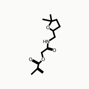 C=C(C)C(=O)OCC(=O)NCC1CCC(C)(C)O1